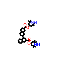 CC1(C)CC(OC(=O)c2ccc3ccc(-c4cc(C(=O)OC5CC(C)(C)NC(C)(C)C5)cc5ccccc45)cc3c2)CC(C)(C)N1